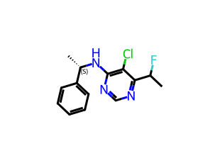 CC(F)c1ncnc(N[C@@H](C)c2ccccc2)c1Cl